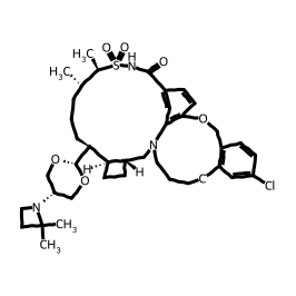 C[C@@H]1[C@@H](C)CCC[C@H]([C@H]2OC[C@@H](N3CCC3(C)C)CO2)[C@@H]2CC[C@H]2CN2CCCCc3cc(Cl)ccc3COc3ccc(cc32)C(=O)NS1(=O)=O